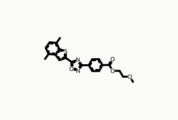 COCCOC(=O)c1ccc(-c2noc(-c3cc4c(C)ccc(C)c4s3)n2)cc1